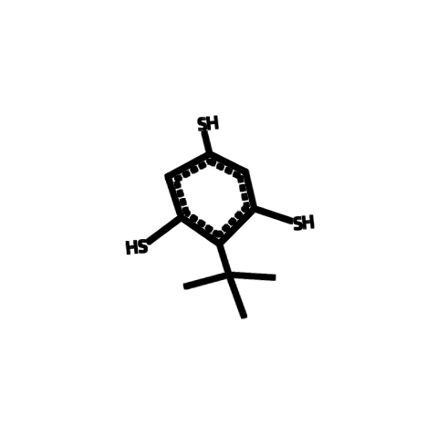 CC(C)(C)c1c(S)cc(S)cc1S